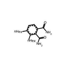 CCCCCCc1ccc(C(N)=O)c(C(N)=O)c1CCCCCC